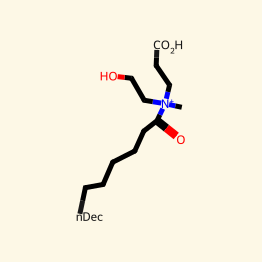 CCCCCCCCCCCCCCCC(=O)[N+](C)(CCO)CCC(=O)O